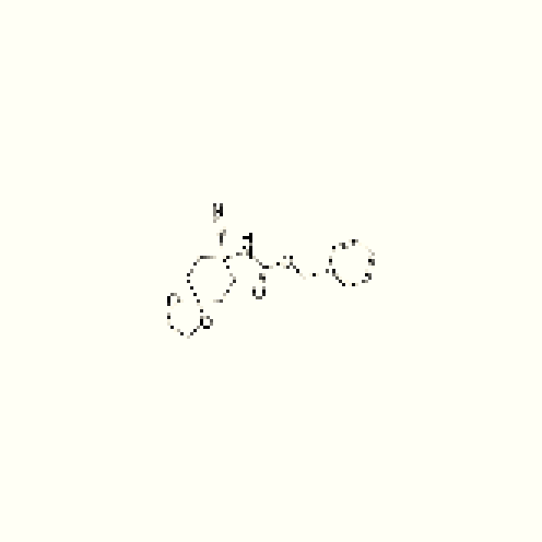 N#CC1(NC(=O)OCc2ccccc2)CCC2(CC1)OCCO2